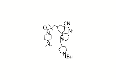 CN(C)C1CCN(C(=O)C(C)(C)CC2CCCC(C#N)(CN(C)C3CCN(CC4CCN(C(C)(C)C)CC4)CC3)C2)CC1